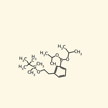 CC(C)OB(OC(C)C)c1cccc(CCO[Si](C)(C)C(C)(C)C)c1